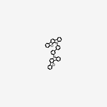 c1cc(-c2cccc(-n3c4ccccc4c4ccc5c6ccccc6oc5c43)c2)cc(-n2c3ccccc3c3c4oc5ccccc5c4ccc32)c1